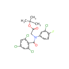 CC(C)(C)OC(=O)CN(C(=O)c1c(Cl)cc(Cl)cc1Cl)c1ccc(F)c(Cl)c1